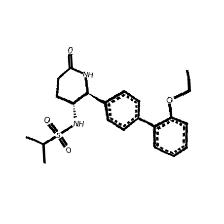 CCOc1ccccc1-c1ccc([C@@H]2NC(=O)CC[C@H]2NS(=O)(=O)C(C)C)cc1